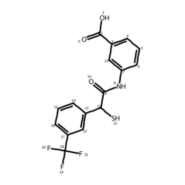 O=C(O)c1cccc(NC(=O)C(S)c2cccc(C(F)(F)F)c2)c1